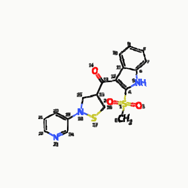 CS(=O)(=O)c1[nH]c2ccccc2c1C(=O)C1CSN(c2cccnc2)C1